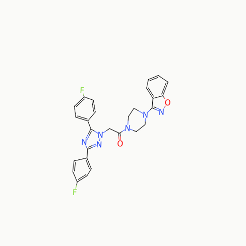 O=C(Cn1nc(-c2ccc(F)cc2)nc1-c1ccc(F)cc1)N1CCN(c2noc3ccccc23)CC1